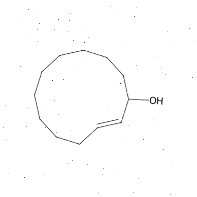 OC1/C=C/CCCCCCCCC1